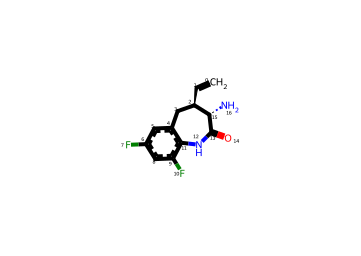 C=C[C@@H]1Cc2cc(F)cc(F)c2NC(=O)[C@H]1N